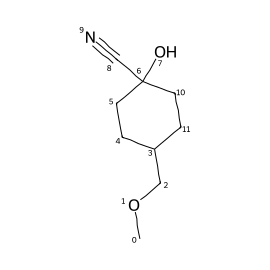 COCC1CCC(O)(C#N)CC1